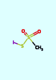 CS(=O)(=O)SI